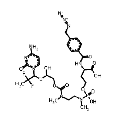 CN(CCN(C)P(=O)(O)OCCC(NC(=O)c1ccc(CN=[N+]=[N-])cc1)C(=O)O)C(=O)OCC(O)OC(n1ccc(N)nc1=O)C(C)(F)F